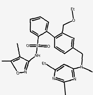 CCOCc1cc(CN(C)c2cc(CC)nc(C)n2)ccc1-c1ccccc1S(=O)(=O)Nc1noc(C)c1C